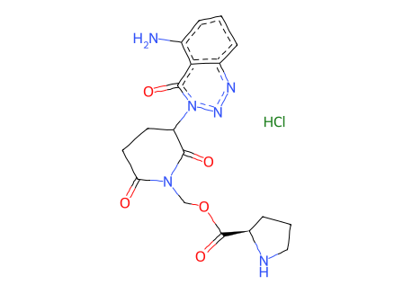 Cl.Nc1cccc2nnn(C3CCC(=O)N(COC(=O)[C@H]4CCCN4)C3=O)c(=O)c12